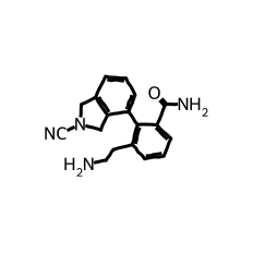 N#CN1Cc2cccc(-c3c(CCN)cccc3C(N)=O)c2C1